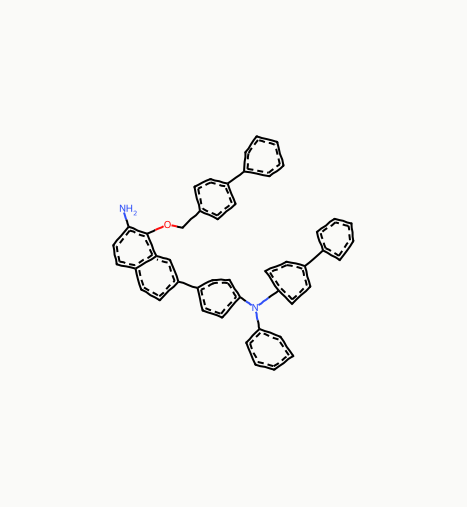 Nc1ccc2ccc(-c3ccc(N(c4ccccc4)c4ccc(-c5ccccc5)cc4)cc3)cc2c1OCc1ccc(-c2ccccc2)cc1